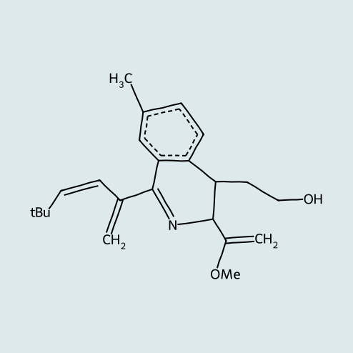 C=C(/C=C\C(C)(C)C)C1=NC(C(=C)OC)C(CCO)c2ccc(C)cc21